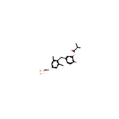 Cc1cc(OCP(=O)(O)O)cc(C)c1Cc1ccc(O)c(NC(=O)C(C)C)c1